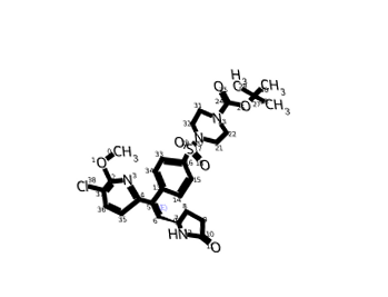 COc1nc(/C(=C/[C@H]2CCC(=O)N2)c2ccc(S(=O)(=O)N3CCN(C(=O)OC(C)(C)C)CC3)cc2)ccc1Cl